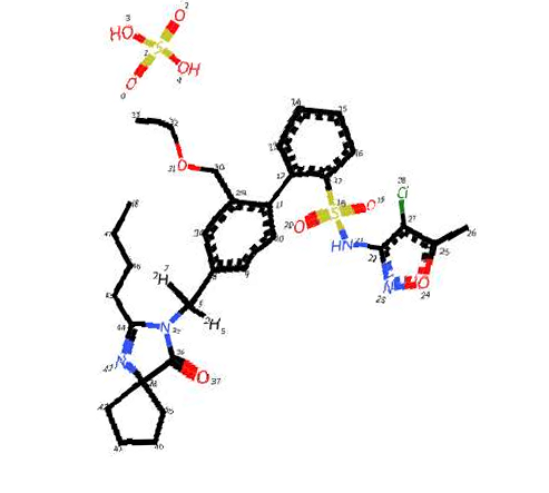 O=S(=O)(O)O.[2H]C([2H])(c1ccc(-c2ccccc2S(=O)(=O)Nc2noc(C)c2Cl)c(COCC)c1)N1C(=O)C2(CCCC2)N=C1CCCC